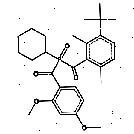 COc1ccc(C(=O)P(=O)(C(=O)c2c(C)ccc(C(C)(C)C)c2C)C2CCCCC2)c(OC)c1